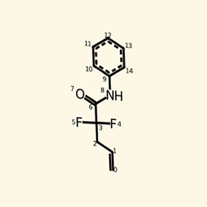 C=CCC(F)(F)C(=O)Nc1ccccc1